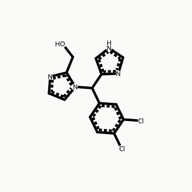 OCc1nccn1C(c1ccc(Cl)c(Cl)c1)c1c[nH]cn1